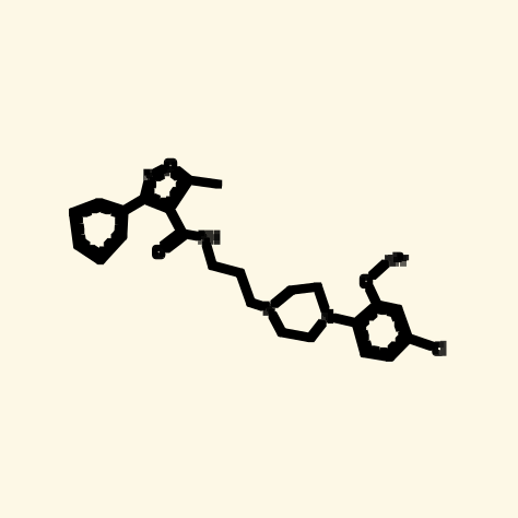 CCCOc1cc(Cl)ccc1N1CCN(CCCNC(=O)c2c(-c3ccccc3)noc2C)CC1